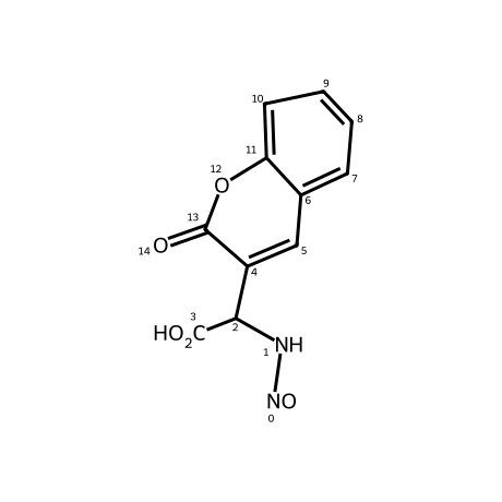 O=NNC(C(=O)O)c1cc2ccccc2oc1=O